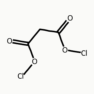 O=C(CC(=O)OCl)OCl